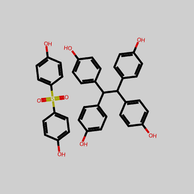 O=S(=O)(c1ccc(O)cc1)c1ccc(O)cc1.Oc1ccc(C(c2ccc(O)cc2)C(c2ccc(O)cc2)c2ccc(O)cc2)cc1